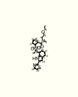 CCOCCN(C)C(=O)c1sccc1S(=O)(=O)N(C)c1cccc2cc(-c3nccs3)[nH]c12